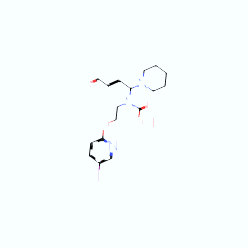 O=CC=CC(N1CCCCC1)N(CCOc1ccc(I)cn1)C(=O)O